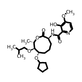 COc1ccnc(C(=O)N[C@H]2CCC[C@H](OC3CCCC3)[C@@H](OCC(C)C)[C@H](C)OC2=O)c1O